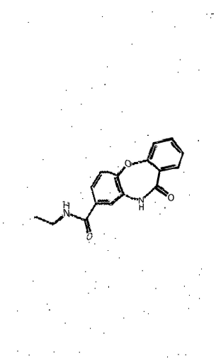 CCNC(=O)c1ccc2c(c1)NC(=O)c1ccccc1O2